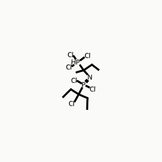 CCC(Cl)(CC)P(Cl)(Cl)=NC(C)(CC)[PH](Cl)(Cl)Cl